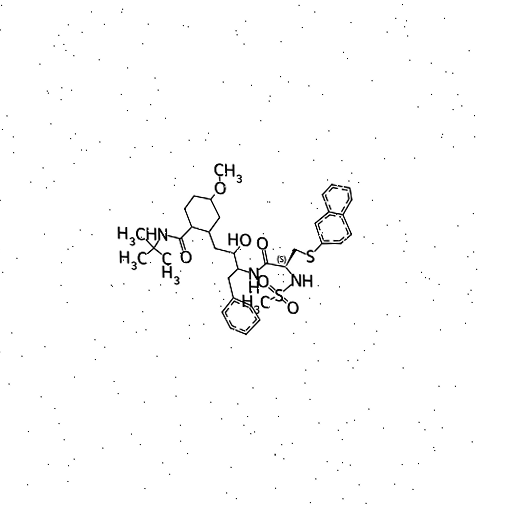 COC1CCC(C(=O)NC(C)(C)C)C(CC(O)C(Cc2ccccc2)NC(=O)[C@@H](CSc2ccc3ccccc3c2)NS(C)(=O)=O)C1